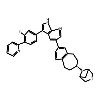 Fc1cc(-c2c[nH]c3ncc(-c4ccc5c(c4)CC[C@@H](N4C6COCC4C6)CC5)cc23)ccc1-c1ccccn1